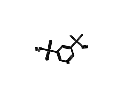 CCCCC(C)(C)c1cncc(S(N)(=O)=O)c1